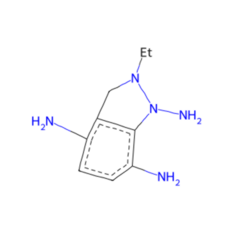 CCN1Cc2c(N)ccc(N)c2N1N